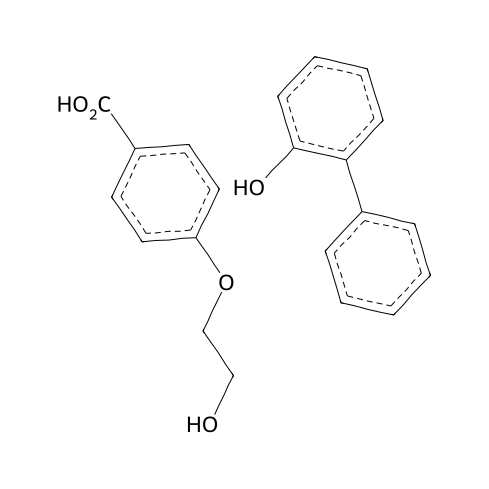 O=C(O)c1ccc(OCCO)cc1.Oc1ccccc1-c1ccccc1